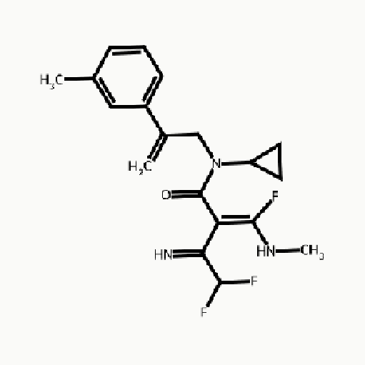 C=C(CN(C(=O)/C(C(=N)C(F)F)=C(\F)NC)C1CC1)c1cccc(C)c1